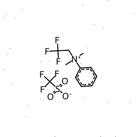 C[N+](C)(CC(F)(F)F)c1ccccc1.O=S(=O)([O-])C(F)(F)F